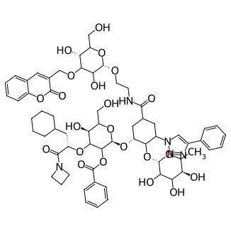 CC1O[C@@H](OC2C(n3cc(-c4ccccc4)nn3)CC(C(=O)NCCO[C@H]3OC(CO)[C@@H](O)C(OCc4cc5ccccc5oc4=O)C3O)C[C@H]2O[C@@H]2OC(CO)[C@H](O)C(O[C@@H](CC3CCCCC3)C(=O)N3CCC3)C2OC(=O)c2ccccc2)C(O)C(O)[C@@H]1O